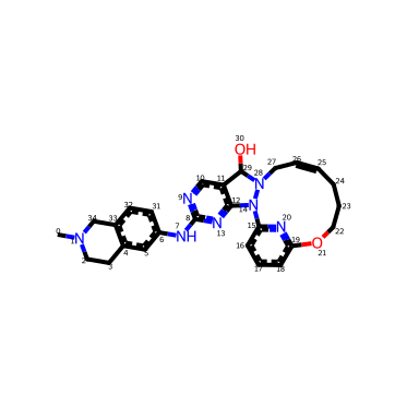 CN1CCc2cc(Nc3ncc4c(n3)N3c5cccc(n5)OCCC/C=C\CN3C4O)ccc2C1